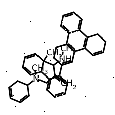 C=C(CN(C)C1C=CC=CC1)C(NC)C1(C)C=CC=CC1c1ccccc1C1=Cc2c3c(c4ccccc4c2CC1)CCC=C3